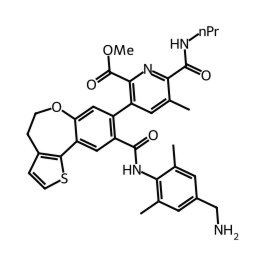 CCCNC(=O)c1nc(C(=O)OC)c(-c2cc3c(cc2C(=O)Nc2c(C)cc(CN)cc2C)-c2sccc2CCO3)cc1C